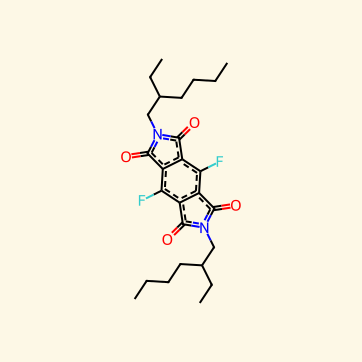 CCCCC(CC)Cn1c(=O)c2c(F)c3c(=O)n(CC(CC)CCCC)c(=O)c3c(F)c2c1=O